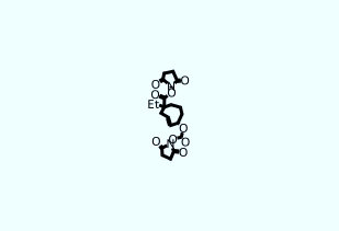 CCC1(C(=O)ON2C(=O)CCC2=O)C/C=C/C(OC(=O)ON2C(=O)CCC2=O)CCC1